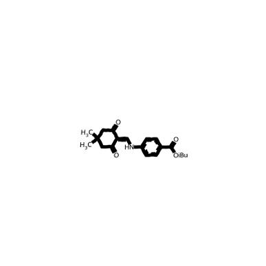 CC(C)COC(=O)c1ccc(NC=C2C(=O)CC(C)(C)CC2=O)cc1